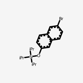 CC(C)[Si](Oc1ccc2cc(Br)ccc2c1)(C(C)C)C(C)C